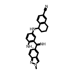 Cn1cc2cc(C(=N)c3cc(NC4CCCc5cc(C#N)ccc54)ccc3N)ccc2n1